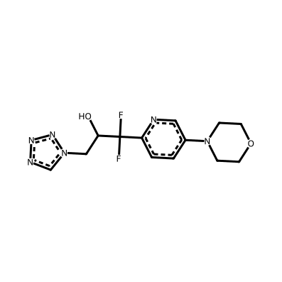 OC(Cn1cnnn1)C(F)(F)c1ccc(N2CCOCC2)cn1